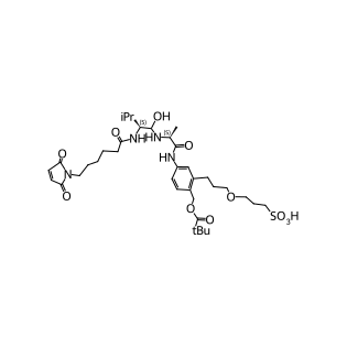 CC(C)[C@H](NC(=O)CCCCCN1C(=O)C=CC1=O)C(O)N[C@@H](C)C(=O)Nc1ccc(COC(=O)C(C)(C)C)c(CCCOCCCS(=O)(=O)O)c1